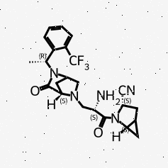 C[C@H](c1ccccc1C(F)(F)F)N1C(=O)[C@@H]2CC1CN2C[C@H](N)C(=O)N1[C@H](C#N)CC2C[C@@H]21